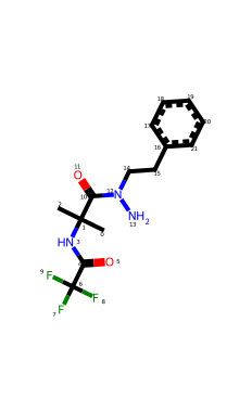 CC(C)(NC(=O)C(F)(F)F)C(=O)N(N)CCc1ccccc1